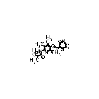 Cc1nc(NC(=O)C(C)C)c(C)c(C)c1OCc1ccccc1